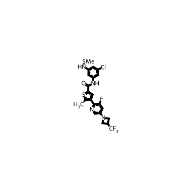 CSNc1cc(Cl)cc(NC(=O)c2cc(-c3ncc(N4CC(C(F)(F)F)C4)cc3F)c(C)s2)c1